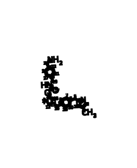 Cc1cnn(Cc2ccc(Cn3cnc(OC(=O)NCc4ccc(CN)cc4)c3)cc2)c1